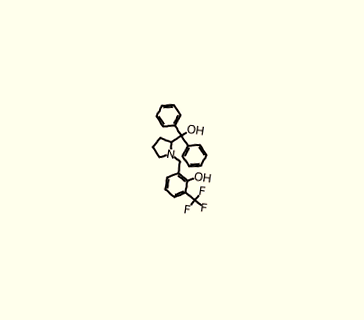 Oc1c(CN2CCCC2C(O)(c2ccccc2)c2ccccc2)cccc1C(F)(F)F